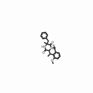 COc1cccc(C#N)c1C(C)C1NC(=O)C(C)(Cc2ccccc2)NC1=O